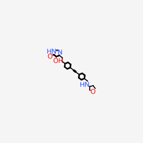 O=c1[nH]cnc(CCc2ccc(C#Cc3ccc(CNC4CCOC4)cc3)cc2)c1O